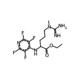 CCOC(=O)C(CCCN(C)C(=N)N)Nc1c(F)c(F)nc(F)c1F